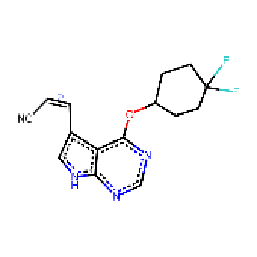 N#C/C=C\c1c[nH]c2ncnc(OC3CCC(F)(F)CC3)c12